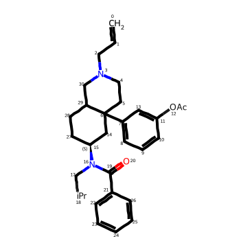 C=CCN1CCC2(c3cccc(OC(C)=O)c3)C[C@@H](N(CC(C)C)C(=O)c3ccccc3)CCC2C1